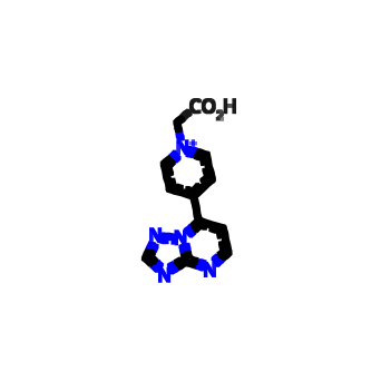 O=C(O)C[n+]1ccc(-c2ccnc3ncnn23)cc1